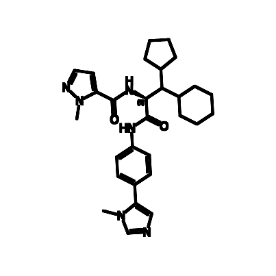 Cn1cncc1-c1ccc(NC(=O)[C@@H](NC(=O)c2ccnn2C)C(C2CCCCC2)C2CCCC2)cc1